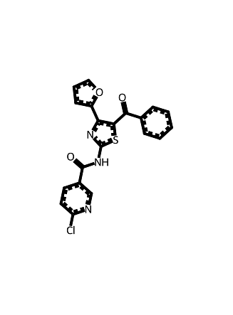 O=C(Nc1nc(-c2ccco2)c(C(=O)c2ccccc2)s1)c1ccc(Cl)nc1